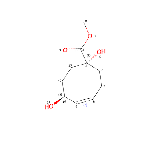 COC(=O)[C@@]1(O)CC/C=C\[C@@H](O)CC1